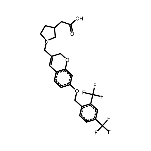 O=C(O)CC1CCN(CC2=Cc3ccc(OCc4ccc(C(F)(F)F)cc4C(F)(F)F)cc3OC2)C1